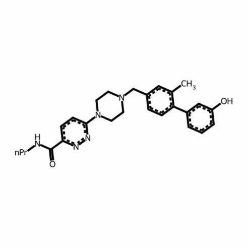 CCCNC(=O)c1ccc(N2CCN(Cc3ccc(-c4cccc(O)c4)c(C)c3)CC2)nn1